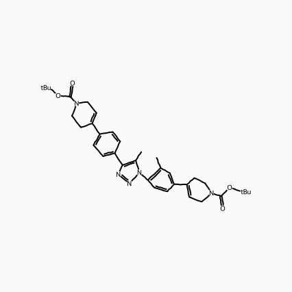 Cc1cc(C2=CCN(C(=O)OC(C)(C)C)CC2)ccc1-n1nnc(-c2ccc(C3=CCN(C(=O)OC(C)(C)C)CC3)cc2)c1C